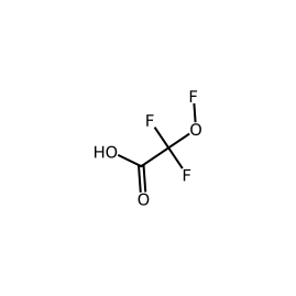 O=C(O)C(F)(F)OF